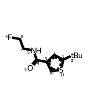 CC(C)(C)c1cc(C(=O)NCCF)cs1